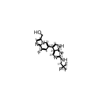 OCc1cnc2c(F)cc(-c3c[nH]c4nc(NCC(F)(F)F)ncc34)cn12